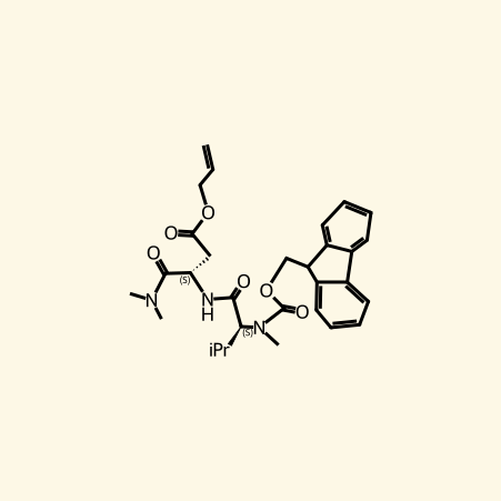 C=CCOC(=O)C[C@H](NC(=O)[C@H](C(C)C)N(C)C(=O)OCC1c2ccccc2-c2ccccc21)C(=O)N(C)C